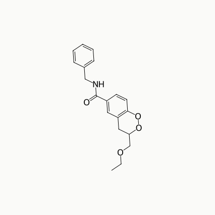 CCOCC1Cc2cc(C(=O)NCc3ccccc3)ccc2OO1